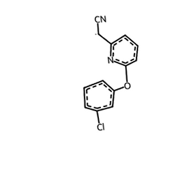 N#C[CH]c1cccc(Oc2cccc(Cl)c2)n1